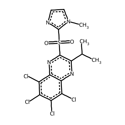 CC(C)c1nc2c(Cl)c(Cl)c(Cl)c(Cl)c2nc1S(=O)(=O)c1nccn1C